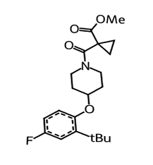 COC(=O)C1(C(=O)N2CCC(Oc3ccc(F)cc3C(C)(C)C)CC2)CC1